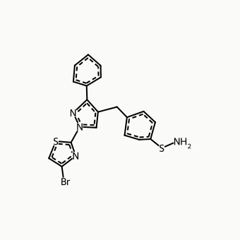 NSc1ccc(Cc2cn(-c3nc(Br)cs3)nc2-c2ccccc2)cc1